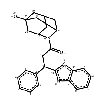 O=C(CC(c1ccccc1)c1nc2ccccc2s1)N1C2CC3CC1CC(O)(C3)C2